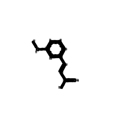 COc1cccc(/C=C/C(C)=O)c1